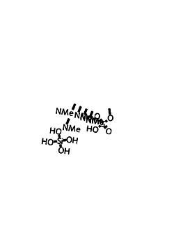 CNC.CNC.CNC.CNC.CNC.COS(=O)(=O)O.O[Si](O)(O)O